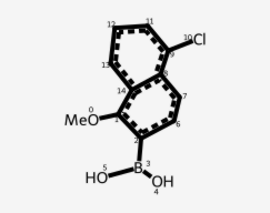 COc1c(B(O)O)ccc2c(Cl)cccc12